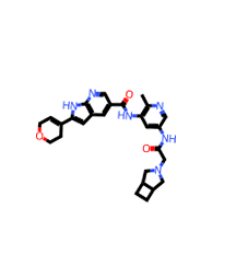 Cc1ncc(NC(=O)CN2CC3CCC3C2)cc1NC(=O)c1cnc2[nH]c(C3=CCOCC3)cc2c1